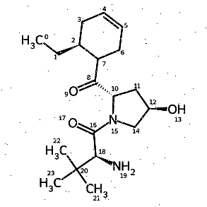 CC[C@H]1CC=CCC1C(=O)[C@@H]1C[C@@H](O)CN1C(=O)[C@@H](N)C(C)(C)C